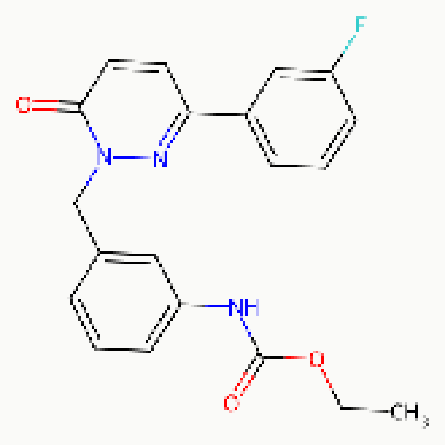 CCOC(=O)Nc1cccc(Cn2nc(-c3cccc(F)c3)ccc2=O)c1